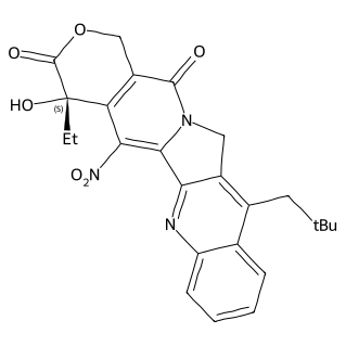 CC[C@@]1(O)C(=O)OCc2c1c([N+](=O)[O-])c1n(c2=O)Cc2c-1nc1ccccc1c2CC(C)(C)C